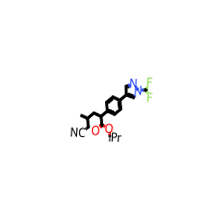 CC(CC#N)CC(C(=O)OC(C)C)c1ccc(-c2cnn(C(F)F)c2)cc1